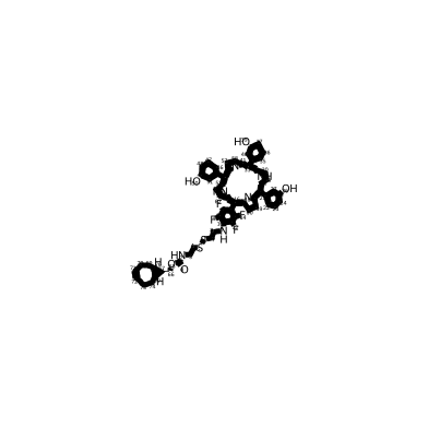 O=C(NCCSSCCNc1c(F)c(F)c(-c2c3nc(c(-c4cccc(O)c4)c4ccc([nH]4)c(-c4cccc(O)c4)c4nc(c(-c5cccc(O)c5)c5ccc2[nH]5)C=C4)C=C3)c(F)c1F)OC[C@H]1[C@@H]2CCC#CCC[C@@H]21